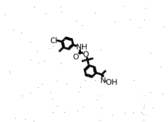 C/C(=N\O)c1cccc(C(C)(C)OC(=O)Nc2ccc(Cl)c(C)c2)c1